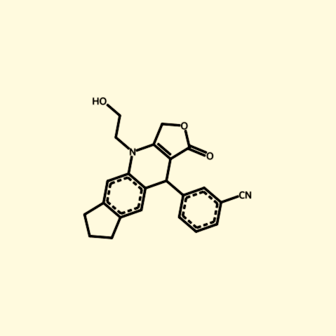 N#Cc1cccc(C2C3=C(COC3=O)N(CCO)c3cc4c(cc32)CCC4)c1